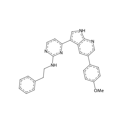 COc1ccc(-c2cnc3[nH]cc(-c4ccnc(NCCc5ccccc5)n4)c3c2)cc1